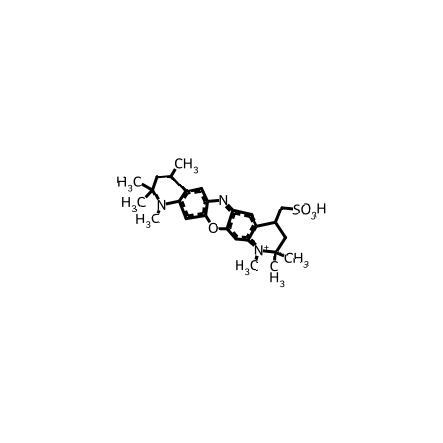 CC1CC(C)(C)N(C)c2cc3c(cc21)N=c1cc2c(cc1O3)=[N+](C)C(C)(C)CC2CS(=O)(=O)O